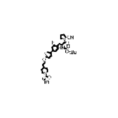 CC(C)OC(=O)N1CCC(CCOc2ccc(-c3ccc(CC(NC(=O)OC(C)(C)C)C(=O)N4CCC[C@H]4C#N)c(F)c3)cn2)CC1